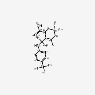 [2H]C([2H])(Nc1cnc(C(F)(F)F)cn1)C1C(C)CC(F)(F)CN1C(=O)O